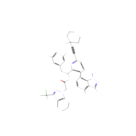 Cn1nc(O)c2c(Cl)ccc(-c3ccc(C#CC4(O)CCOCC4)nc3C(Cc3cc(F)cc(F)c3)NC(=O)Cn3nc(C(F)(F)F)c4c3CCCC4)c21